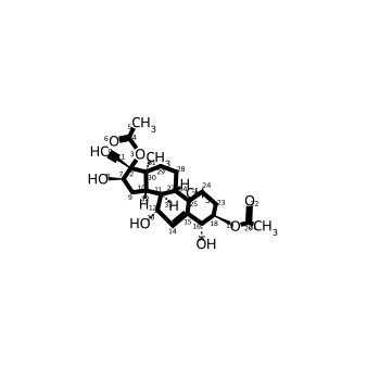 C#C[C@]1(OC(C)=O)[C@H](O)C[C@H]2[C@@H]3[C@@H](O)C=C4[C@@H](O)[C@H](OC(C)=O)CC[C@]4(C)[C@H]3CC[C@@]21C